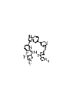 CC1(F)CC(Cn2cc(-c3ccc4ncc(-c5cccc(NC6CNCC6(F)F)n5)n4c3)cn2)C1